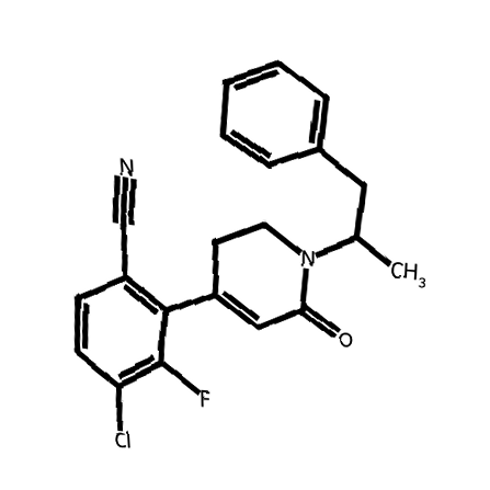 CC(Cc1ccccc1)N1CCC(c2c(C#N)ccc(Cl)c2F)=CC1=O